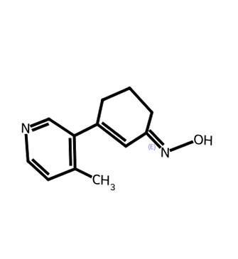 Cc1ccncc1C1=C/C(=N/O)CCC1